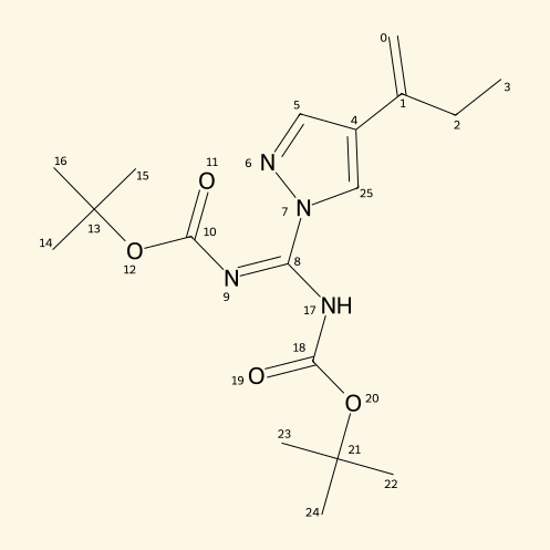 C=C(CC)c1cnn(/C(=N\C(=O)OC(C)(C)C)NC(=O)OC(C)(C)C)c1